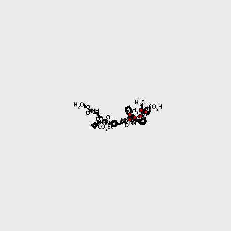 C=CCOC(=O)NCCCC[C@H](NC(=O)C1(C(=O)OCC)CCC1)C(=O)Nc1ccc(COC(=O)Nc2nnc(-c3ccccc3OC(=O)OCC=C)cc2N2CC3CCC(C2)N3c2ccnc(OCCN3CCN(C(=O)O)CC3C)c2)cc1